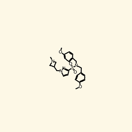 COc1ccc(CN(Cc2ccc(OC)cc2)S(=O)(=O)c2ccn(CC3CN(C)C3)n2)cc1